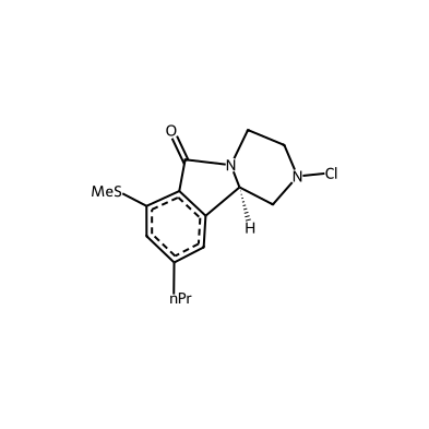 CCCc1cc(SC)c2c(c1)[C@@H]1CN(Cl)CCN1C2=O